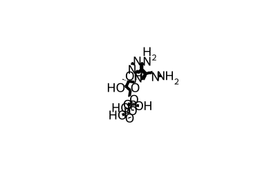 C[C@@]1(O)C(O)C(COP(=O)(O)OP(=O)(O)O)OC1n1cc(/C=N/N)c2c(N)ncnc21